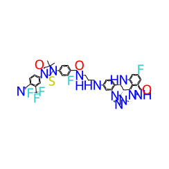 Cn1ncnc1[C@H]1c2n[nH]c(=O)c3cc(F)cc(c23)N[C@@H]1c1ccc(NCCCNC(=O)c2ccc(N3C(=S)N(c4ccc(C#N)c(C(F)(F)F)c4)C(=O)C3(C)C)cc2F)cc1